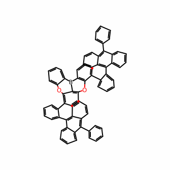 c1ccc(-c2c3ccccc3c(-c3ccccc3-c3cccc4c3Oc3ccc(-c5ccccc5-c5c6ccccc6c(-c6ccccc6)c6ccccc56)c5c3B4c3ccccc3O5)c3ccccc23)cc1